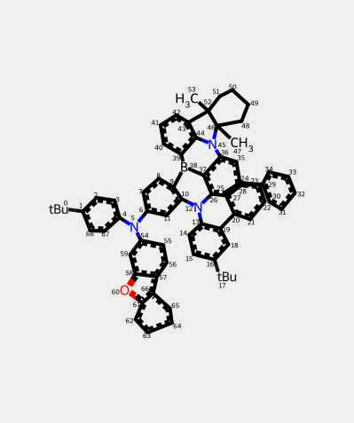 CC(C)(C)c1ccc(N(c2ccc3c(c2)N(c2ccc(C(C)(C)C)cc2-c2ccccc2)c2cc(-c4ccccc4)cc4c2B3c2cccc3c2N4C2(C)CCCCC32C)c2ccc3c(c2)oc2ccccc23)cc1